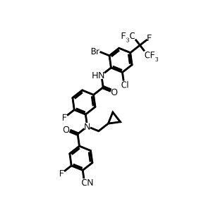 N#Cc1ccc(C(=O)N(CC2CC2)c2cc(C(=O)Nc3c(Cl)cc(C(F)(C(F)(F)F)C(F)(F)F)cc3Br)ccc2F)cc1F